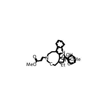 CC[C@]12CCCN(/C=C/C(=O)OC)CCc3c(n(c4ccccc34)[C@@](O)(C(=O)OC)C1)[C@@H]2Oc1ccccc1